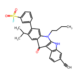 C#Cc1ccc2c(c1)[nH]c1c2c(=O)c2cc(C(C)C)c(-c3cccc(S(=O)(=O)F)c3)cc2n1CCCC